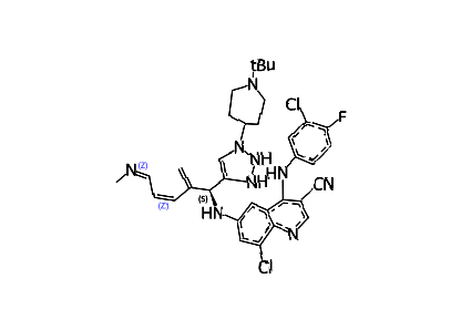 C=C(/C=C\C=N/C)[C@H](Nc1cc(Cl)c2ncc(C#N)c(Nc3ccc(F)c(Cl)c3)c2c1)C1=CN(C2CCN(C(C)(C)C)CC2)NN1